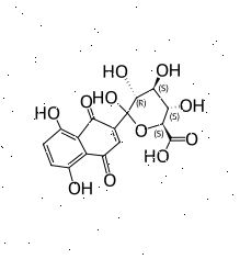 O=C1C=C(C2(O)O[C@H](C(=O)O)[C@@H](O)[C@H](O)[C@H]2O)C(=O)c2c(O)ccc(O)c21